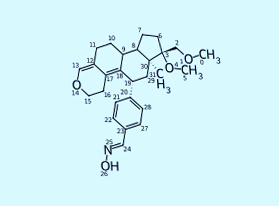 COC[C@]1(OC)CCC2C3CCC4=COCCC4=C3[C@@H](c3ccc(C=NO)cc3)C[C@@]21C